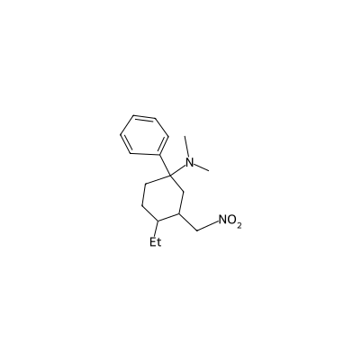 [CH2]CC1CCC(c2ccccc2)(N(C)C)CC1C[N+](=O)[O-]